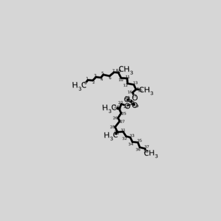 CCCCCCCCC(C)CCCCC(C)COS(=O)(=O)OCC(C)CCCCC(C)CCCCCCCC